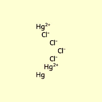 [Cl-].[Cl-].[Cl-].[Cl-].[Hg+2].[Hg+2].[Hg]